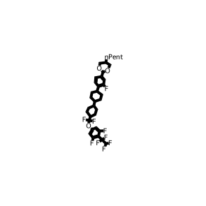 CCCCCC1COC(c2ccc(C3CCC(C4CCC(C(F)(F)Oc5cc(F)c(C(F)(F)C(F)F)c(F)c5)CC4)CC3)c(F)c2)OC1